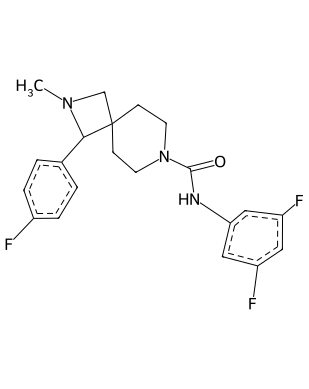 CN1CC2(CCN(C(=O)Nc3cc(F)cc(F)c3)CC2)C1c1ccc(F)cc1